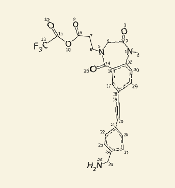 CN1C(=O)CN(CCC(=O)OC(=O)C(F)(F)F)C(=O)c2cc(C#Cc3ccc(CN)cc3)ccc21